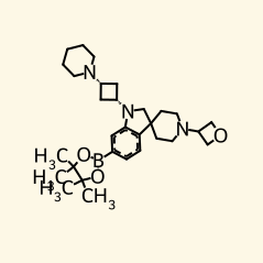 CC1(C)OB(c2ccc3c(c2)N([C@H]2C[C@@H](N4CCCCC4)C2)CC32CCN(C3COC3)CC2)OC1(C)C